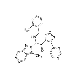 Cc1ccccc1CNC(C(=O)c1conc1-c1ccncn1)c1nc2ccncc2n1C